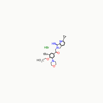 Br.CC(C)(C)c1cc(C(=O)CN2Cc3ccc(C4CC4)nc3C2=N)cc(N2CCOCC2)c1OCC(=O)O